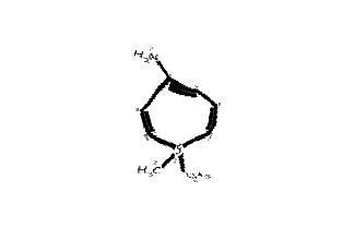 CS1(C)C=CC=C(N)C=C1